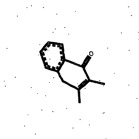 CC1=C(C)C(=O)c2ccccc2C1